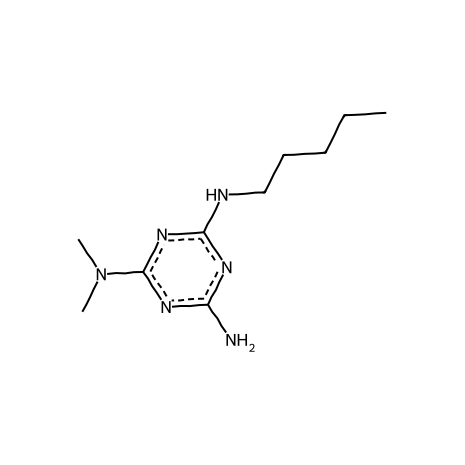 CCCCCNc1nc(N)nc(N(C)C)n1